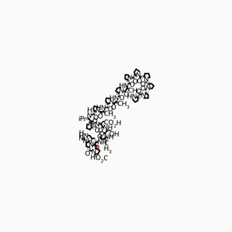 CC(C)[C@H](NC(=O)[C@@H]1CCCN1C(=O)[C@H](C)NC(=O)[C@@H]1CCCN1C(=O)[C@H](C)NC(=O)[C@@H]1CCCN1C(=O)[C@H](C)NC(=O)[C@@H]1CCCN1C(=O)[C@@H]1CCCN1C(=O)[C@@H]1CCCN1C(=O)[C@@H]1CCCN1C(=O)[C@@H]1CCCN1C(=O)[C@@H]1CCCN1)C(=O)N1CCC[C@H]1C(=O)N[C@@H](CC(=O)O)C(=O)N[C@@H](CO)C(=O)N[C@@H](C)C(=O)N[C@@H](CCCNC(=N)N)C(=O)N1CCC[C@H]1C(=O)N1CCC[C@H]1C(=O)O